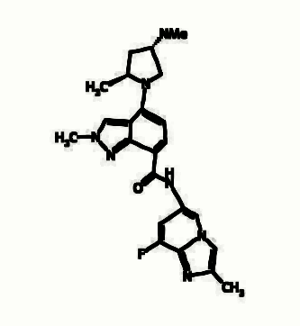 CN[C@H]1C[C@H](C)N(c2ccc(C(=O)Nc3cc(F)c4nc(C)cn4c3)c3nn(C)cc23)C1